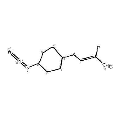 CC(C=O)=CCC1CCC(N=[N+]=[N-])CC1